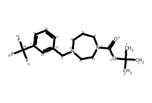 CC(C)(C)OC(=O)N1CCCN(Cc2cccc(C(F)(F)F)c2)CC1